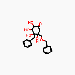 O=C1CC(O)(COCc2ccccc2)C(O)(Cc2ccccc2)C(O)C1O